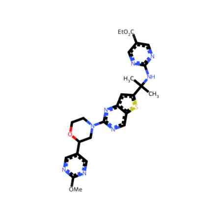 CCOC(=O)c1cnc(NC(C)(C)c2cc3nc(N4CCOC(c5cnc(OC)nc5)C4)ncc3s2)nc1